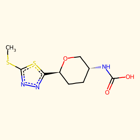 CSc1nnc([C@@H]2CC[C@@H](NC(=O)O)CO2)s1